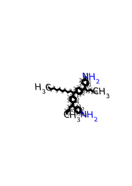 CCCCCCCCCC(c1ccc(C(CCCC)c2ccc(N)cc2)cc1)c1ccc(C(CCCC)c2ccc(N)cc2)cc1